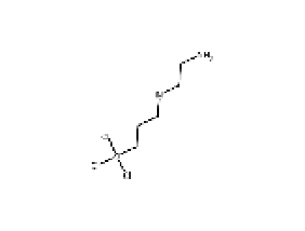 NCCNCCC[Si](Cl)(Cl)Cl